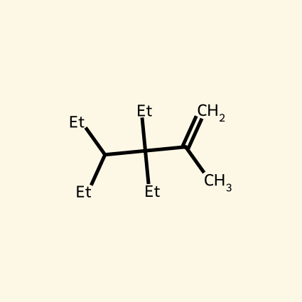 C=C(C)C(CC)(CC)C(CC)CC